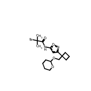 CC(C)(Br)C(=O)Nc1cc(C2(COC3CCCCO3)CCC2)no1